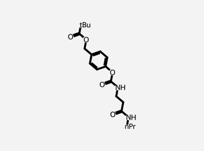 CCCNC(=O)CCNC(=O)Oc1ccc(COC(=O)C(C)(C)C)cc1